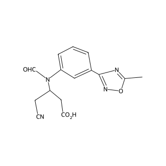 Cc1nc(-c2cccc(N(C=O)C(CC#N)CC(=O)O)c2)no1